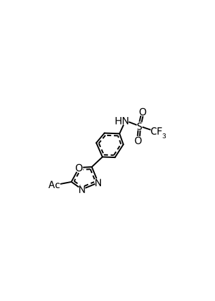 CC(=O)c1nnc(-c2ccc(NS(=O)(=O)C(F)(F)F)cc2)o1